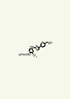 CCCCCOc1ccc(Nc2nc(-c3ccc(CO)nc3)cs2)cc1C(F)(F)F